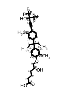 CCC(CC)(c1ccc(C#CC(O)(C(F)(F)F)C(F)(F)F)c(C)c1)c1ccc(OC[C@@H](O)CCCC(=O)O)c(C)c1